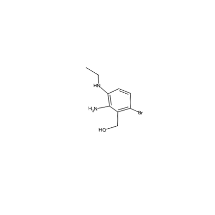 CCNc1ccc(Br)c(CO)c1N